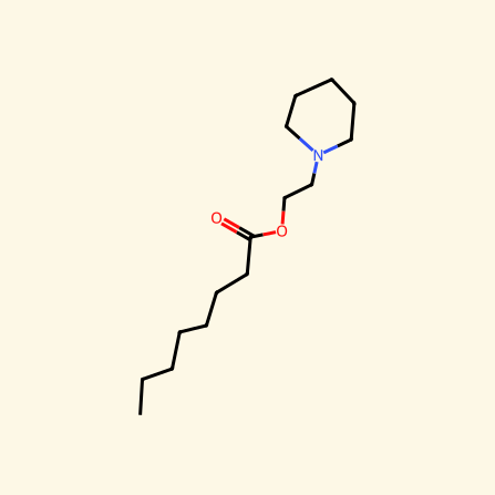 CCCCCCCC(=O)OCCN1CCCCC1